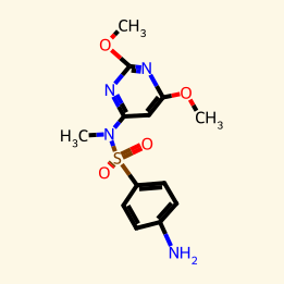 COc1cc(N(C)S(=O)(=O)c2ccc(N)cc2)nc(OC)n1